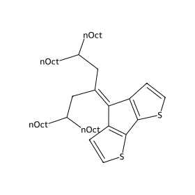 CCCCCCCCC(CCCCCCCC)CC(CC(CCCCCCCC)CCCCCCCC)=C1c2ccsc2-c2sccc21